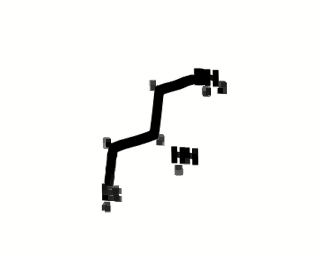 BCCCCC.[HH]